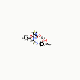 COc1ccc(CNC(=S)[C@@H](CCC2CCCCC2)NC(=O)[C@@H]2CSCN2C(=O)OC(C)(C)C)cc1O